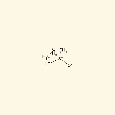 CC.C[S+](C)[O-]